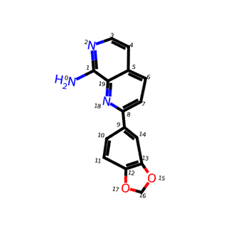 Nc1nccc2ccc(-c3ccc4c(c3)OCO4)nc12